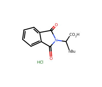 CCCCC(C(=O)O)N1C(=O)c2ccccc2C1=O.Cl